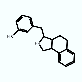 Cc1cccc(CC2NCC3c4ccccc4CCC23)c1